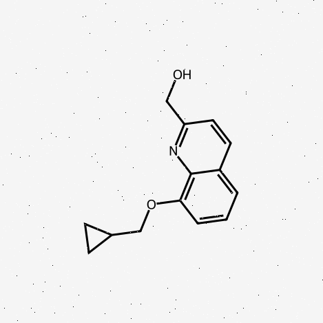 OCc1ccc2cccc(OCC3CC3)c2n1